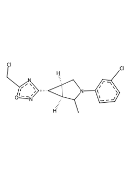 CC1[C@@H]2[C@H](CN1c1cccc(Cl)c1)[C@H]2c1noc(CCl)n1